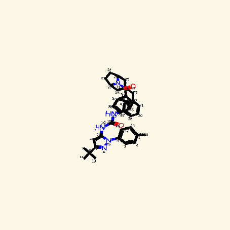 Cc1ccc(-n2nc(C(C)(C)C)cc2NC(=O)Nc2cccc(CC3CC4CCC(C3)N4C(=O)C3CC4C=CC3C4)c2)cc1